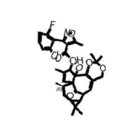 CC1=CC23C(=O)C(C=C4COC(C)(C)OC4C2(O)C1OC(=O)c1c(-c2c(F)cccc2Cl)noc1C)C1C(C[C@H]3C)C1(C)C